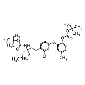 CCC[C@@](CO)(CCc1ccc(Sc2cc(C)ccc2OC(=O)OC(C)(C)C)cc1Cl)NC(=O)OC(C)(C)C